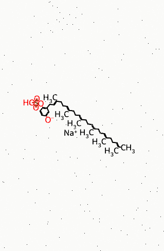 CC(C)=CCC/C(C)=C/CC/C(C)=C/CC/C(C)=C/CC/C(C)=C/CC/C(C)=C/Cc1cc([O-])ccc1OS(=O)(=O)O.[Na+]